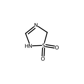 O=S1(=O)CN=CN1